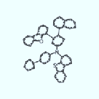 c1ccc(-c2ccc(N(c3ccc(-c4cccc5ccccc45)c(-c4cccc5c4oc4ccccc45)c3)c3cccc4c3sc3ccccc34)cc2)cc1